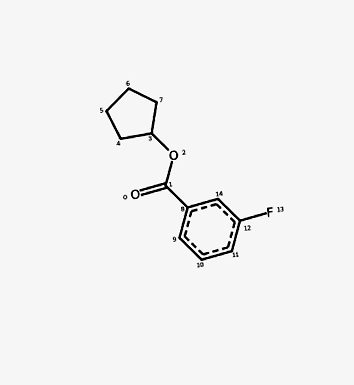 O=C(OC1CCCC1)c1cccc(F)c1